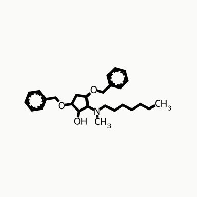 CCCCCCCN(C)C1C(OCc2ccccc2)CC(OCc2ccccc2)C1O